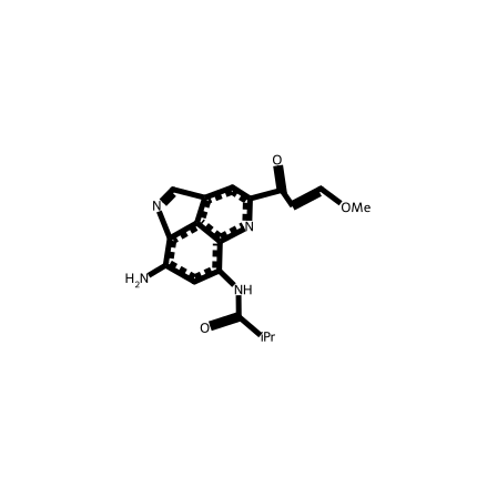 COC=CC(=O)c1cc2c3c(c(N)cc(NC(=O)C(C)C)c3n1)N=C2